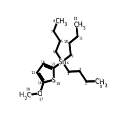 CCC[CH2][Sn]([CH2]CCC)([CH2]CCC)[c]1ccc(OC)s1